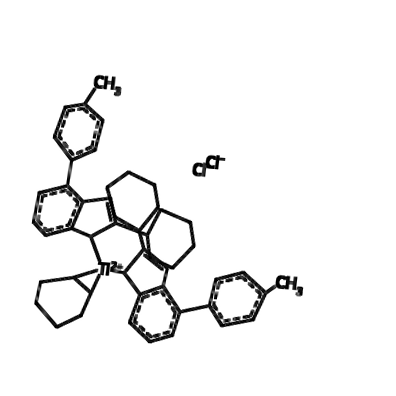 Cc1ccc(-c2cccc3c2C=C(C2CCCCC2)[CH]3[Ti+2]2([CH]3C(C4CCCCC4)=Cc4c(-c5ccc(C)cc5)cccc43)[CH]3CCCC[CH]32)cc1.[Cl-].[Cl-]